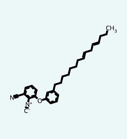 [C-]#[N+]c1c(C#N)cccc1Oc1cccc(CCCCCCC/C=C/C/C=C/CCC)c1